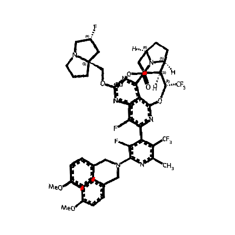 COc1ccc(CN(Cc2ccc(OC)cc2)c2nc(C)c(C(F)(F)F)c(-c3nc4c5c(nc(OC[C@@]67CCCN6C[C@H](F)C7)nc5c3F)N3C[C@H]5CC[C@@H]([C@H]3[C@H](C(F)(F)F)O4)N5C(=O)OC(C)(C)C)c2F)cc1